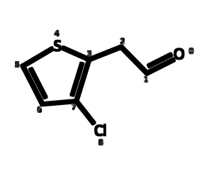 O=CCc1sccc1Cl